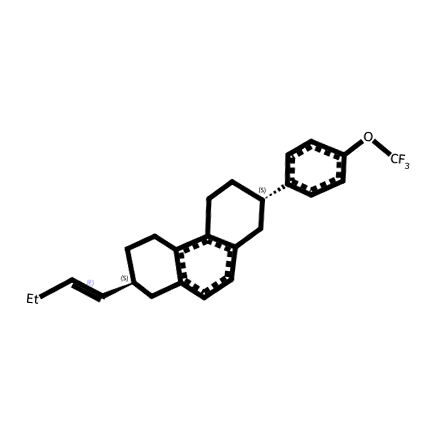 CC/C=C/[C@H]1CCc2c(ccc3c2CC[C@H](c2ccc(OC(F)(F)F)cc2)C3)C1